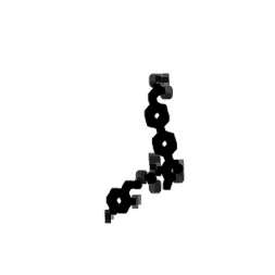 Cc1onc(-c2ccc(-c3ccc(CC(=O)O)cc3)cc2)c1NC(=O)OCCc1ccc(F)cc1F